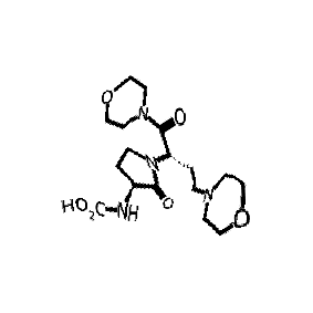 O=C(O)N[C@H]1CCN([C@@H](CCN2CCOCC2)C(=O)N2CCOCC2)C1=O